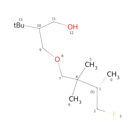 C[C@H](CF)C(C)(C)COCC(CO)C(C)(C)C